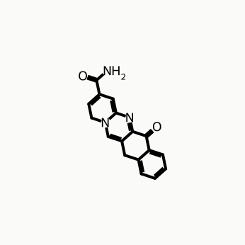 NC(=O)C1=CCN2C=C3Cc4ccccc4C(=O)C3=NC2=C1